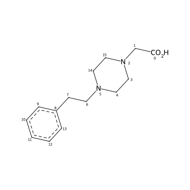 O=C(O)CN1CCN(CCc2ccccc2)CC1